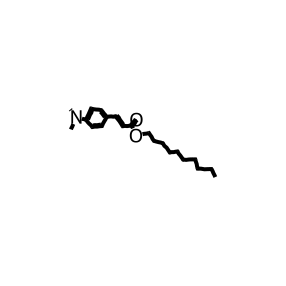 CCCCCCCCCCOC(=O)C=Cc1ccc(N(C)C)cc1